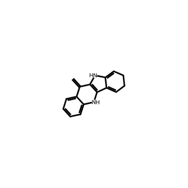 C=C1c2ccccc2Nc2c1[nH]c1c2=CCCC=1